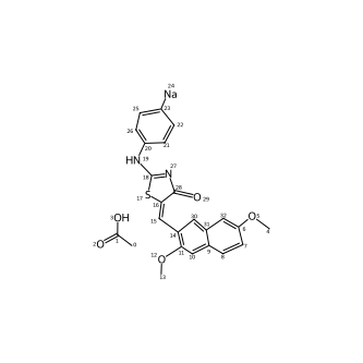 CC(=O)O.COc1ccc2cc(OC)c(C=C3SC(Nc4cc[c]([Na])cc4)=NC3=O)cc2c1